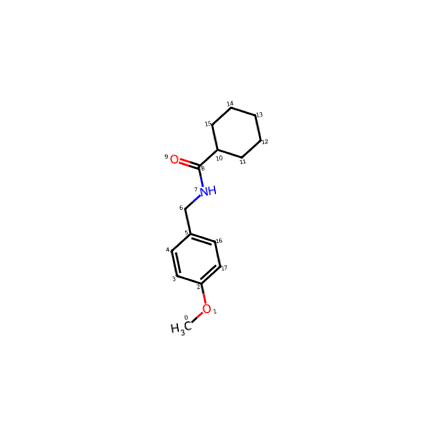 COc1ccc(CNC(=O)C2CCCCC2)cc1